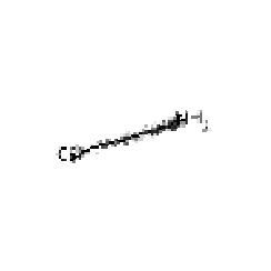 C[Si](C)(Cl)CCCCCCCCCCCCCCCCCCCCCCCCCN